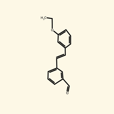 CCOc1cccc(/C=C/c2cccc(C=O)c2)c1